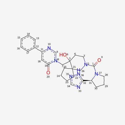 O=C(N1CCC(O)(Cn2cnc(-c3ccccc3)cc2=O)C2(CCCC2)C1)N1CCC[C@H]1c1ncn[nH]1